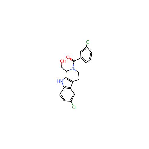 O=C(c1cccc(Cl)c1)N1CCc2c([nH]c3ccc(Cl)cc23)C1CO